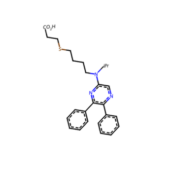 CC(C)N(CCCCSCCC(=O)O)c1cnc(-c2ccccc2)c(-c2ccccc2)n1